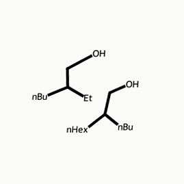 CCCCC(CC)CO.CCCCCCC(CO)CCCC